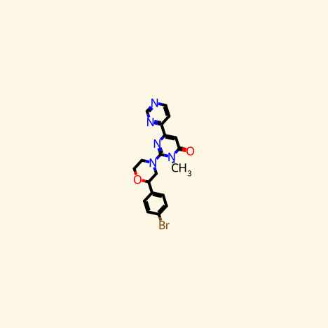 Cn1c(N2CCOC(c3ccc(Br)cc3)C2)nc(-c2ccncn2)cc1=O